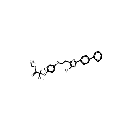 CCOC(=O)C(C)(C)Oc1ccc(OCCc2nc(-c3ccc(-c4ccccc4)cc3)sc2C)cc1